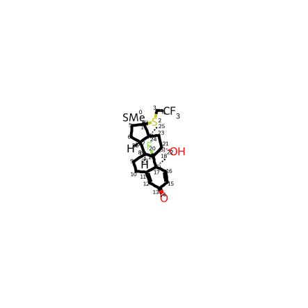 CS[C@]1(SCC(F)(F)F)CC[C@H]2[C@@H]3CCC4=CC(=O)C=C[C@]4(C)C3(F)[C@@H](O)C[C@@]21C